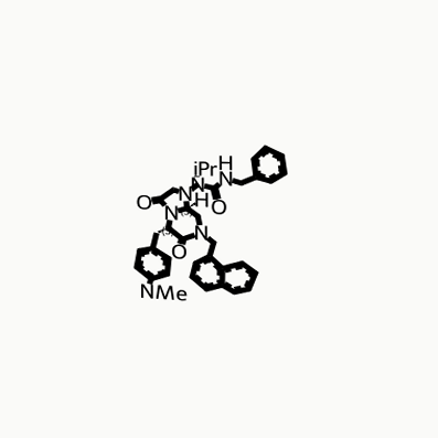 CNc1ccc(C[C@H]2C(=O)N(Cc3cccc4ccccc34)C[C@H]3N2C(=O)CN3N(C(=O)NCc2ccccc2)C(C)C)cc1